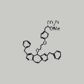 CCOC(=O)C(Cc1ccc(OCCOC2c3cc(Cc4ccccc4)ccc3C=Cc3ccc(Cc4ccccc4)cc32)cc1)OC